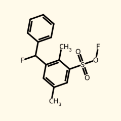 Cc1cc(C(F)c2ccccc2)c(C)c(S(=O)(=O)OF)c1